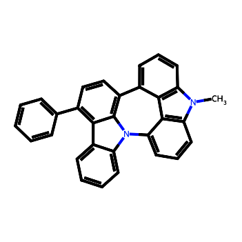 Cn1c2cccc3c4ccc(-c5ccccc5)c5c6ccccc6n(c6cccc1c6c32)c45